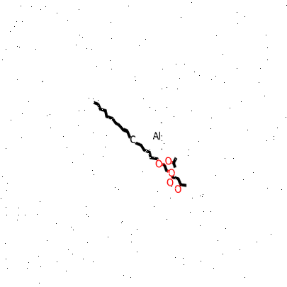 CCCCCCCCC=CCCCCCCCCOC(COC(=O)CC(C)=O)OC(C)C.[Al]